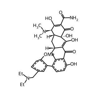 CCN(CC)Cc1ccc(OC)c(-c2ccc(O)c3c2C[C@@H]2C[C@@H]4[C@@H](N(C)C)C(O)=C(C(N)=O)C(=O)[C@@]4(O)C(O)=C2C3=O)c1